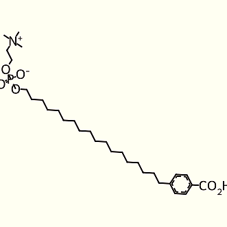 C[N+](C)(C)CCOP(=O)([O-])OCCCCCCCCCCCCCCCCCCc1ccc(C(=O)O)cc1